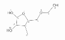 CC1C(COCO)OC(O)C1O